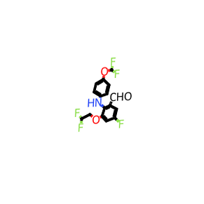 O=Cc1cc(F)cc(OCC(F)F)c1Nc1ccc(OC(F)F)cc1